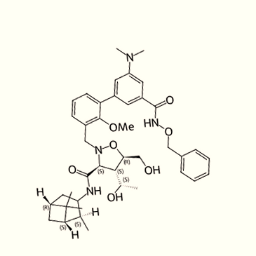 COc1c(CN2O[C@@H](CO)[C@H]([C@H](C)O)[C@H]2C(=O)NC2C[C@H]3C[C@@H]([C@@H]2C)C3(C)C)cccc1-c1cc(C(=O)NOCc2ccccc2)cc(N(C)C)c1